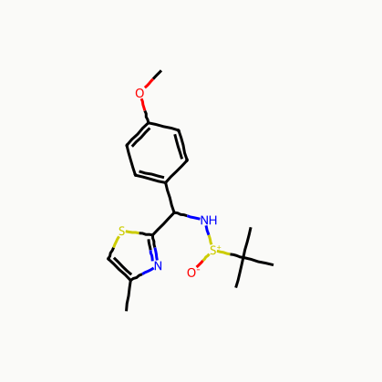 COc1ccc(C(N[S+]([O-])C(C)(C)C)c2nc(C)cs2)cc1